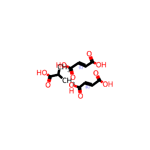 CC(C)C(=O)O.O=C(O)/C=C/C(=O)O.O=C(O)/C=C/C(=O)O